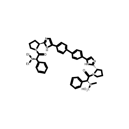 CCN(CC)[C@@H](C(=O)N1CCC[C@H]1c1ncc(-c2ccc(-c3ccc(-c4cnc([C@@H]5CCCN5C(=O)[C@@H](c5ccccc5)N(C)C(=O)O)[nH]4)cc3)cc2)[nH]1)c1ccccc1